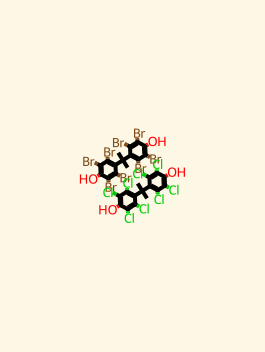 CC(C)(c1c(Br)c(Br)c(O)c(Br)c1Br)c1c(Br)c(Br)c(O)c(Br)c1Br.CC(C)(c1c(Cl)c(Cl)c(O)c(Cl)c1Cl)c1c(Cl)c(Cl)c(O)c(Cl)c1Cl